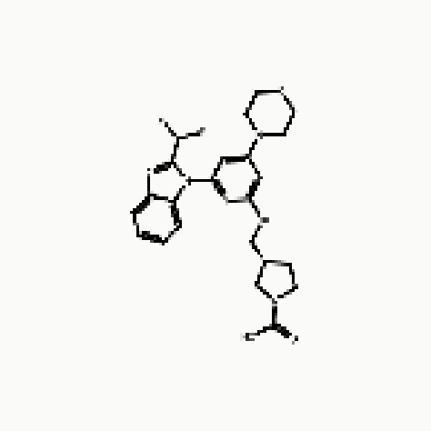 O=C(O)N1CC[C@H](CNc2nc(N3CCOCC3)cc(-n3c(C(F)F)nc4ccccc43)n2)C1